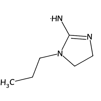 CCCN1CCN=C1[NH]